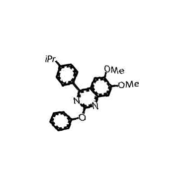 COc1cc2nc(Oc3ccccc3)nc(-c3ccc(C(C)C)cc3)c2cc1OC